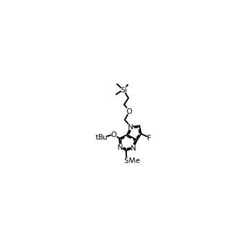 CSc1nc(OC(C)(C)C)c2c(n1)c(F)cn2COCC[Si](C)(C)C